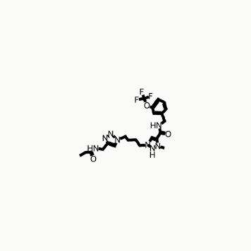 CCC(=O)NCc1cn(CCCCN2C=C(C(=O)NCc3cccc(OC(F)(F)F)c3)N(C)N2)nn1